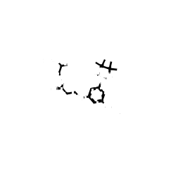 CCCCC(CC)COC(=O)CCSc1cc(B2OC(C)(C)C(C)(C)O2)cc(C(=O)O)c1